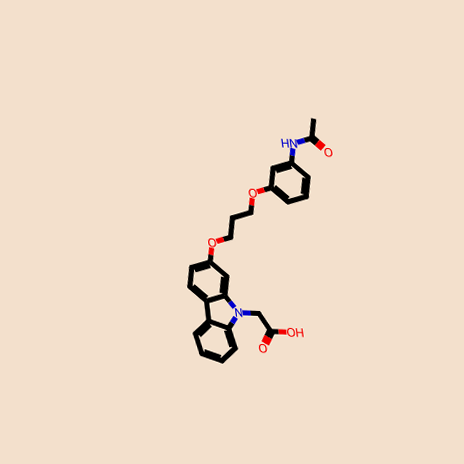 CC(=O)Nc1cccc(OCCCOc2ccc3c4ccccc4n(CC(=O)O)c3c2)c1